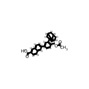 CC(=O)OCc1ccc(-c2ccc3cc(C(=O)O)ccc3c2)cc1C12CC3CC(CC(C3)C1)C2